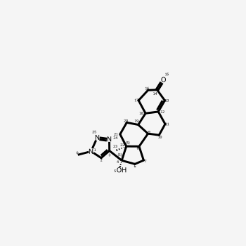 Cn1cc([C@]2(O)CCC3C4CCC5=CC(=O)CCC5C4CC[C@@]32C)nn1